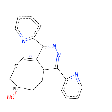 O[C@@H]1CC/C=C2/C(c3ccccn3)=NN=C(c3ccccn3)C2CC1